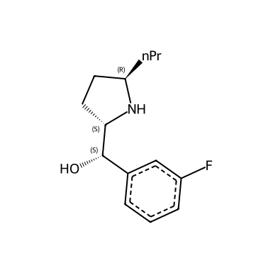 CCC[C@@H]1CC[C@@H]([C@@H](O)c2cccc(F)c2)N1